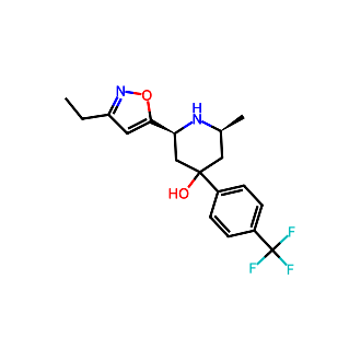 CCc1cc([C@@H]2CC(O)(c3ccc(C(F)(F)F)cc3)C[C@H](C)N2)on1